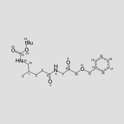 CC(CCC(=O)NCC(=O)COCc1ccccc1)CNC(=O)OC(C)(C)C